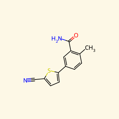 Cc1ccc(-c2ccc(C#N)s2)cc1C(N)=O